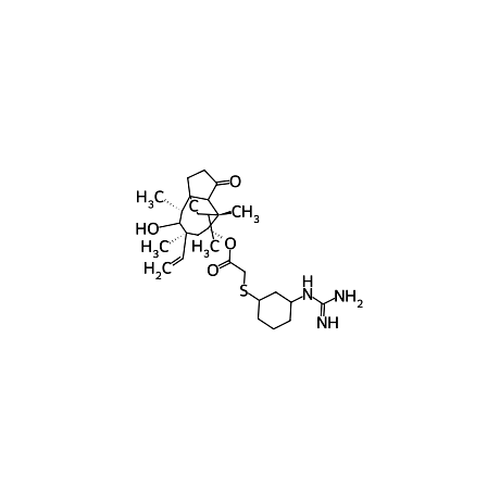 C=C[C@]1(C)C[C@@H](OC(=O)CSC2CCCC(NC(=N)N)C2)[C@]2(C)C(C)CCC3(CCC(=O)C32)[C@@H](C)C1O